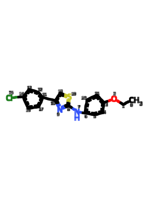 CCOc1ccc(Nc2nc(-c3ccc(Cl)cc3)cs2)cc1